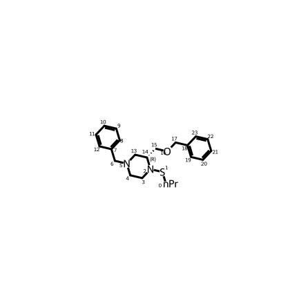 CCCSN1CCN(Cc2ccccc2)C[C@@H]1COCc1ccccc1